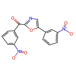 O=C(c1cccc([N+](=O)[O-])c1)c1ncc(-c2cccc([N+](=O)[O-])c2)o1